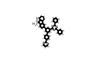 CC1(C)C2=C(CCC=C2)c2cc(-c3cc(-c4ccc(-c5ncccn5)cc4)cc(-c4nc(-c5ccccc5)nc(-c5ccccc5)n4)c3)ccc21